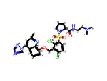 Cc1cc(-n2cncn2)c2cccc(OCc3c(Cl)ccc(S(=O)(=O)N4CCC[C@H]4C(=O)NCCN(C)C)c3Cl)c2n1